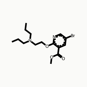 CCCN(CCC)CCOc1ncc(Br)cc1C(=O)OC